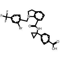 O=C(O)c1ccc(C2(NC(=O)c3cccc4c3N(Cc3ccc(C(F)(F)F)cc3Br)CC4)CC2)cc1